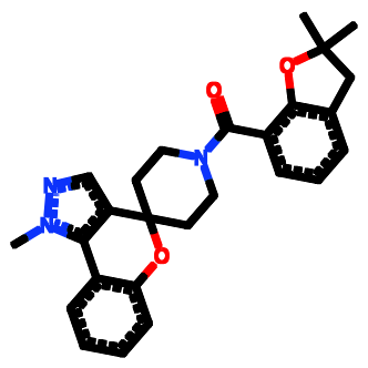 Cn1ncc2c1-c1ccccc1OC21CCN(C(=O)c2cccc3c2OC(C)(C)C3)CC1